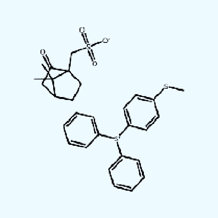 CC1(C)C2CCC1(CS(=O)(=O)[O-])C(=O)C2.CSc1ccc([S+](c2ccccc2)c2ccccc2)cc1